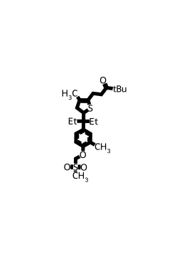 CCC(CC)(c1ccc(OCS(C)(=O)=O)c(C)c1)C1CC(C)=C(CCC(=O)C(C)(C)C)S1